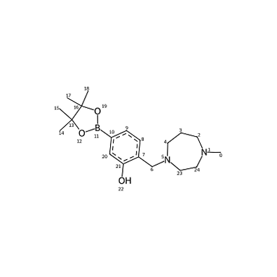 CN1CCCN(Cc2ccc(B3OC(C)(C)C(C)(C)O3)cc2O)CC1